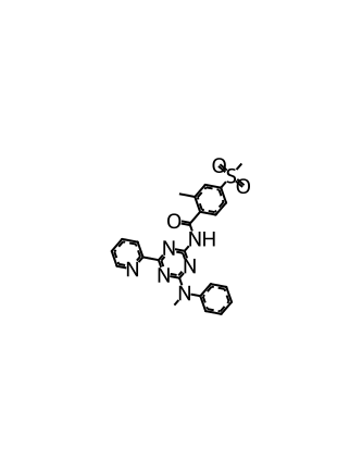 Cc1cc(S(C)(=O)=O)ccc1C(=O)Nc1nc(-c2ccccn2)nc(N(C)c2ccccc2)n1